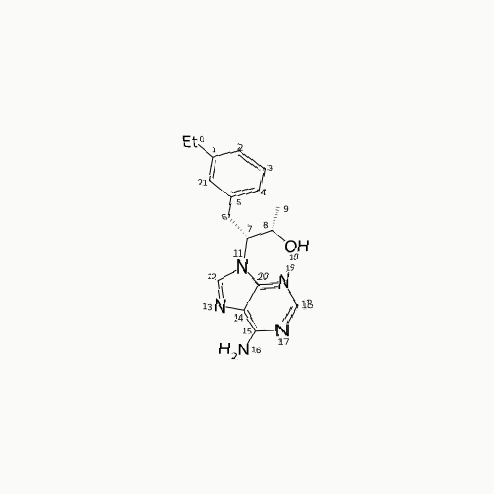 CCc1cccc(C[C@H]([C@H](C)O)n2cnc3c(N)ncnc32)c1